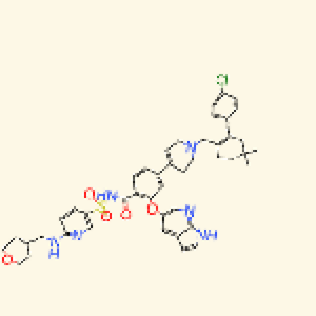 CC1(C)CCC(CN2CC=C(c3ccc(C(=O)NS(=O)(=O)c4ccc(NCC5CCOCC5)nc4)c(Oc4cnc5[nH]ccc5c4)c3)CC2)=C(c2ccc(Cl)cc2)C1